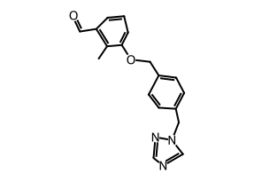 Cc1c(C=O)cccc1OCc1ccc(Cn2cncn2)cc1